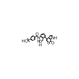 Cn1cc(-c2cccc(NC(=O)c3ccc(C(C)(C)O)cc3)c2CO)c2cc[nH]c2c1=O